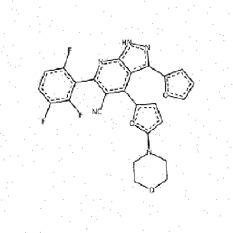 N#Cc1c(-c2c(F)ccc(F)c2F)nc2[nH]nc(-c3ccco3)c2c1-c1ccc(N2CCOCC2)o1